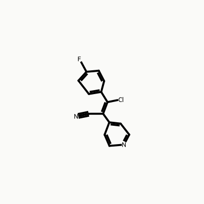 N#CC(=C(Cl)c1ccc(F)cc1)c1ccncc1